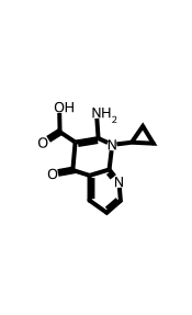 Nc1c(C(=O)O)c(=O)c2cccnc2n1C1CC1